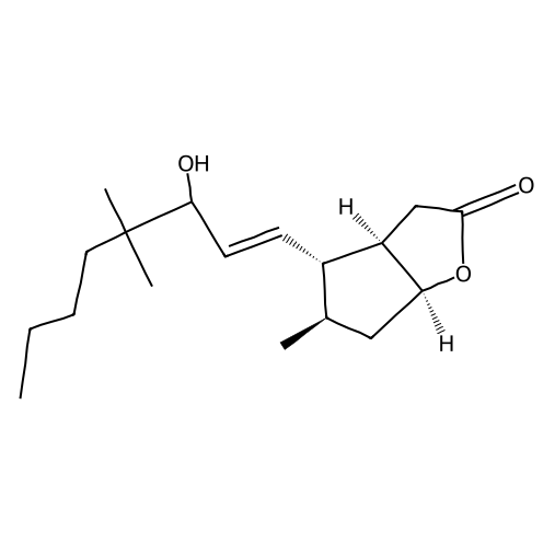 CCCCC(C)(C)C(O)/C=C/[C@@H]1[C@H]2CC(=O)O[C@H]2C[C@H]1C